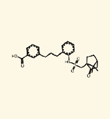 CC1(C)C2CCC1(CS(=O)(=O)Nc1ccccc1CCCc1cccc(C(=O)O)c1)C(=O)C2